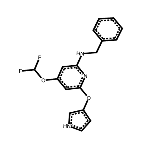 FC(F)Oc1cc(NCc2ccccc2)nc(Oc2cc[nH]c2)c1